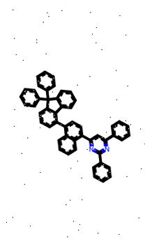 c1ccc(-c2cc(-c3ccc(-c4cccc5c4-c4ccccc4C5(c4ccccc4)c4ccccc4)c4ccccc34)nc(-c3ccccc3)n2)cc1